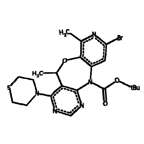 Cc1nc(Br)cc2c1OC(C)c1c(N3CCSCC3)ncnc1N2C(=O)OC(C)(C)C